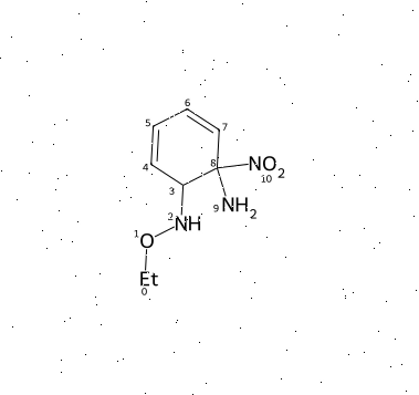 CCONC1C=CC=CC1(N)[N+](=O)[O-]